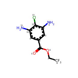 Nc1cc(C(=O)OCC(F)(F)F)cc(N)c1Cl